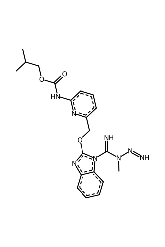 CC(C)COC(=O)Nc1cccc(COc2nc3ccccc3n2C(=N)N(C)N=N)n1